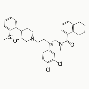 CN(C[C@@H](CCN1CCC(c2ccccc2[S+](C)[O-])CC1)c1ccc(Cl)c(Cl)c1)C(=O)c1cccc2c1CCCC2